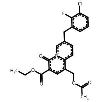 CCOC(=O)c1cc(COC(C)=O)c2ccc(Cc3cccc(Cl)c3F)cn2c1=O